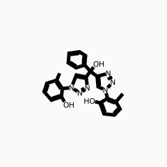 Cc1cccc(O)c1-n1cc(C(O)(c2ccccc2)c2cn(-c3c(C)cccc3O)nn2)nn1